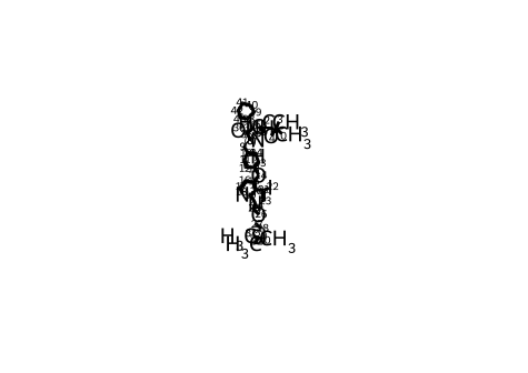 CC(C)(C)OC(=O)N[C@@H](Cc1ccc(Oc2ccnc3c2c(I)cn3COCC[Si](C)(C)C)cc1)C(=O)NC1CCCCC1